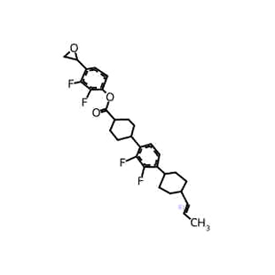 C/C=C/C1CCC(c2ccc(C3CCC(C(=O)Oc4ccc(C5CO5)c(F)c4F)CC3)c(F)c2F)CC1